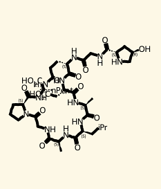 CCCCC[C@H](NC(=O)[C@@H]1CCCN1C(=O)CNC(=O)[C@H](C)NC(=O)[C@H](CC(C)C)NC(=O)[C@H](C)NC(=O)[C@H](CC(=O)O)NC(=O)[C@H](CCC(N)=O)NC(=O)CNC(=O)[C@@H]1C[C@@H](O)CN1)C(=O)O